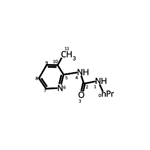 CCCNC(=O)Nc1ncccc1C